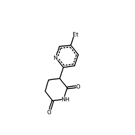 CCc1ccc(C2CCC(=O)NC2=O)nc1